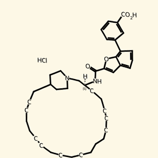 Cl.O=C(O)c1cccc(-c2cccc3cc(C(=O)N[C@H]4CCCCCCCCCCCCCCCCCCCC5CCN(CC5)C4)oc23)c1